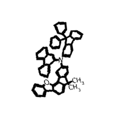 CC1(C)c2ccc(N(c3ccc4c(c3)C(c3ccccc3)(c3ccccc3)c3ccccc3-4)c3cc4ccccc4c4ccccc34)cc2-c2c1ccc1c2oc2ccccc21